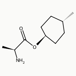 C[C@H](N)C(=O)O[C@H]1CC[C@H](C)CC1